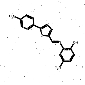 O=[N+]([O-])c1ccc(-c2ccc(/C=N/c3cc([N+](=O)[O-])ccc3O)o2)cc1